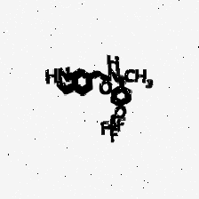 C[C@@H](NC(=O)Cc1ccc2cc[nH]c2c1)c1ccc(OCC(F)(F)F)cc1